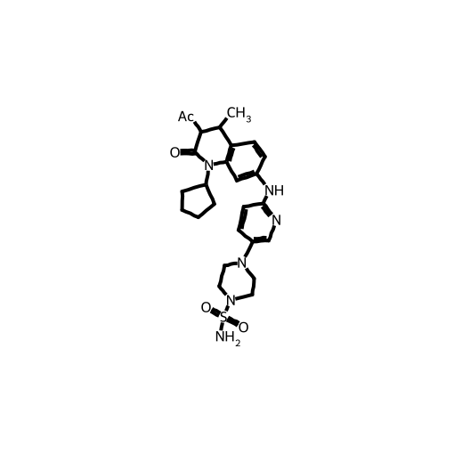 CC(=O)C1C(=O)N(C2CCCC2)c2cc(Nc3ccc(N4CCN(S(N)(=O)=O)CC4)cn3)ccc2C1C